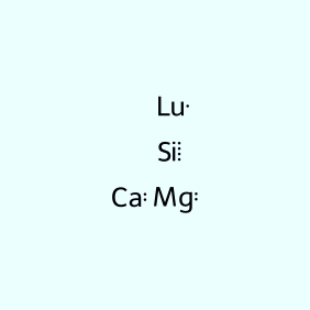 [Ca].[Lu].[Mg].[Si]